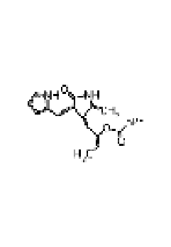 C=C1NC(=O)C(=C\c2ccc[nH]2)/C1=C/C(=C\C)OC(=O)CCC